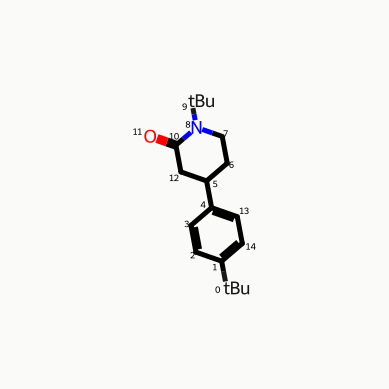 CC(C)(C)c1ccc(C2CCN(C(C)(C)C)C(=O)C2)cc1